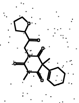 CN1C(=O)N(CC(=O)C2CCCO2)C(=O)C(C)(C2=CCCCC2)C1=O